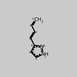 C=CC=Cc1cc[nH]n1